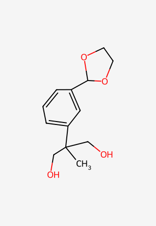 CC(CO)(CO)c1cccc(C2OCCO2)c1